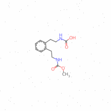 COC(=O)NCCc1ccccc1CCNC(=O)O